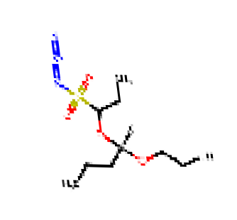 CCCO[Si](C)(CCC)OC(CC)S(=O)(=O)N=[N+]=[N-]